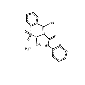 CN1C(C(=O)Nc2ccccn2)=C(O)c2ccccc2S1(=O)=O.O